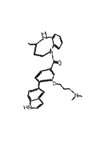 CC1CCN(C(=O)c2ccc(-c3ccc4[nH]ccc4c3)c(OCCCN(C)C)c2)c2ccccc2N1